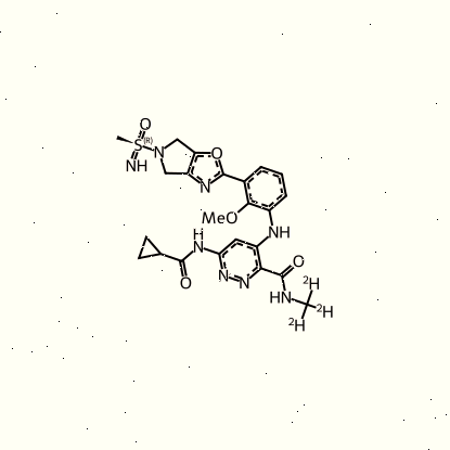 [2H]C([2H])([2H])NC(=O)c1nnc(NC(=O)C2CC2)cc1Nc1cccc(-c2nc3c(o2)CN([S@](C)(=N)=O)C3)c1OC